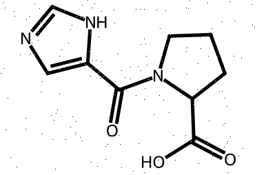 O=C(O)C1CCCN1C(=O)c1cnc[nH]1